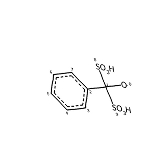 [O]C(c1ccccc1)(S(=O)(=O)O)S(=O)(=O)O